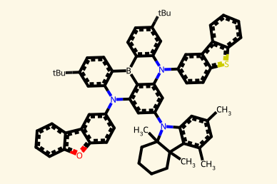 Cc1cc(C)c2c(c1)N(c1cc3c4c(c1)N(c1ccc5sc6ccccc6c5c1)c1cc(C(C)(C)C)ccc1B4c1ccc(C(C)(C)C)cc1N3c1ccc3oc4ccccc4c3c1)C1(C)CCCCC21C